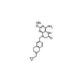 CCCCOc1nc(N)c2c(n1)N(Cc1ccc3c(c1)CCN(CC1CC1)C3)CC(=O)N2